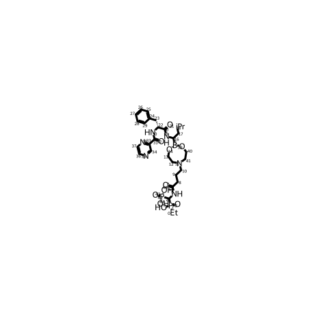 CCP(=O)(O)C(NC(=O)CCCN1CCOB(C(CC(C)C)NC(=O)[C@@H](Cc2ccccc2)NC(=O)c2cnccn2)OCC1)P(=O)(O)O